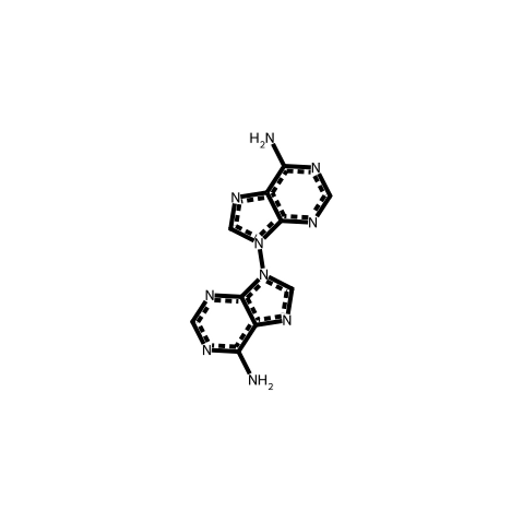 Nc1ncnc2c1ncn2-n1cnc2c(N)ncnc21